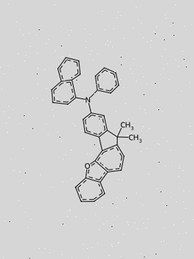 CC1(C)c2cc(N(c3ccccc3)c3cccc4ccccc34)ccc2-c2c1ccc1c2oc2ccccc21